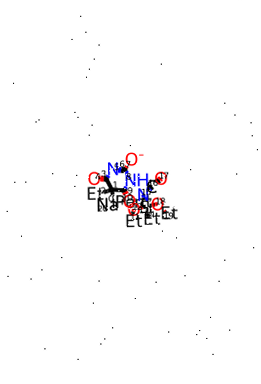 CCCC(C)C1(CC)C(=O)N=C([O-])NC1=O.CCO[Si](CC)(N=C=O)OCC.[Na+]